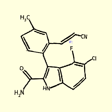 Cc1c[c]c(-c2c(C(N)=O)[nH]c3ccc(Cl)c(F)c23)c(/C=C/C#N)c1